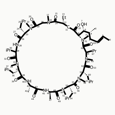 C/C=C/C[C@@H](C)[C@@H](O)[C@H]1C(=O)C[C@@H](CC)C(=O)N(C)CC(=O)N(C)[C@@H](CC(C)C)C(=O)NC(C(C)C)C(=O)N(C)[C@@H](CC(C)C)C(=O)N[C@@H](C)C(=O)N[C@H](C)C(=O)N(C)[C@@H](CC(C)C)C(=O)N(C)[C@@H](CC(C)C)C(=O)N(C)C(C(C)C)C(=O)N1C